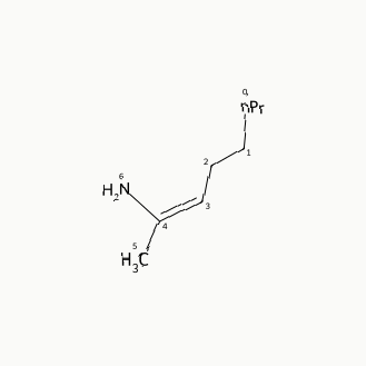 CCCCCC=C(C)N